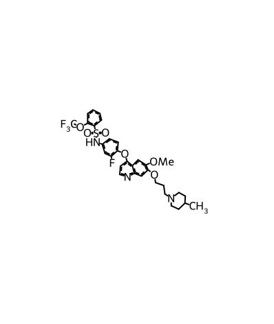 COc1cc2c(Oc3ccc(NS(=O)(=O)c4ccccc4OC(F)(F)F)cc3F)ccnc2cc1OCCCN1CCC(C)CC1